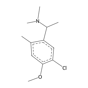 COc1cc(C)c(C(C)N(C)C)cc1Cl